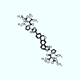 CC[C@H]1CC[C@@H](c2ncc(-c3ccc4c(c3)COc3cc5c(ccc6nc([C@@H]7CC[C@H](CC)N7C(=O)[C@@H](NC(=O)OC)C(C)C)[nH]c65)cc3-4)[nH]2)N1C(=O)[C@@H](NC(=O)OC)C(C)C